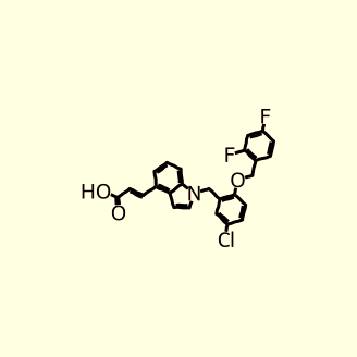 O=C(O)/C=C/c1cccc2c1ccn2Cc1cc(Cl)ccc1OCc1ccc(F)cc1F